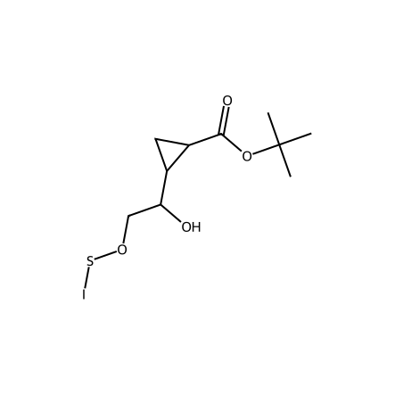 CC(C)(C)OC(=O)C1CC1C(O)COSI